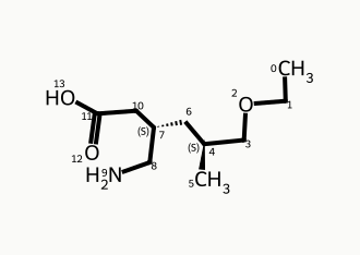 CCOC[C@@H](C)C[C@H](CN)CC(=O)O